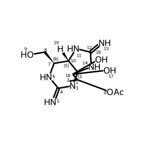 CC(=O)OC1CN2C(=N)N[C@@H](CO)[C@@H]3NC(=N)NC32C1(O)O